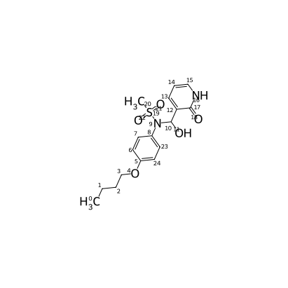 CCCCOc1ccc(N(C(O)c2ccc[nH]c2=O)S(C)(=O)=O)cc1